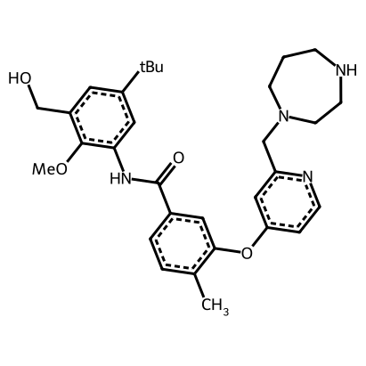 COc1c(CO)cc(C(C)(C)C)cc1NC(=O)c1ccc(C)c(Oc2ccnc(CN3CCCNCC3)c2)c1